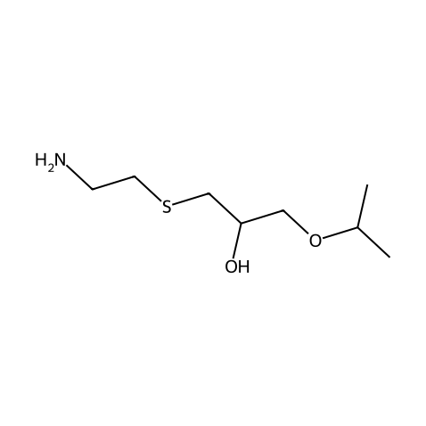 CC(C)OCC(O)CSCCN